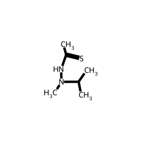 CC(=S)NN(C)C(C)C